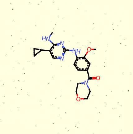 CNc1nc(Nc2ccc(C(=O)N3CCOCC3)cc2OC)ncc1C1CC1